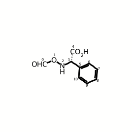 O=CON[C@H](C(=O)O)c1ccccc1